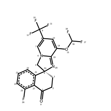 O=C1CC[C@@]2(CN3C=C(C(F)(F)F)C=C(OC(F)F)C3=N2)c2cccc(F)c21